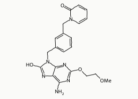 COCCOc1nc(N)c2nc(O)n(Cc3cccc(Cn4ccccc4=O)c3)c2n1